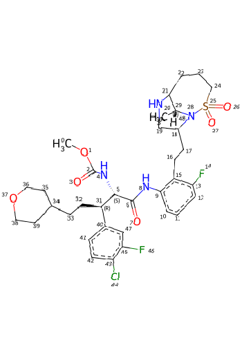 COC(=O)N[C@H](C(=O)Nc1cccc(F)c1CCC1CNC2CCCS(=O)(=O)N1[C@@H]2C)[C@H](CCC1CCOCC1)c1ccc(Cl)c(F)c1